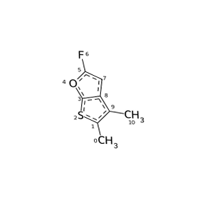 Cc1sc2oc(F)cc2c1C